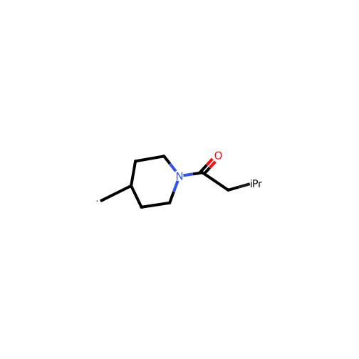 [CH2]C1CCN(C(=O)CC(C)C)CC1